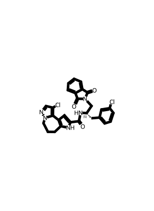 O=C(N[C@@H](Cc1cccc(Cl)c1)CN1C(=O)c2ccccc2C1=O)c1cc2c([nH]1)CCCn1ncc(Cl)c1-2